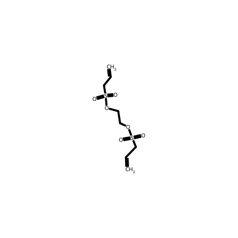 C=CCS(=O)(=O)OCCOS(=O)(=O)CC=C